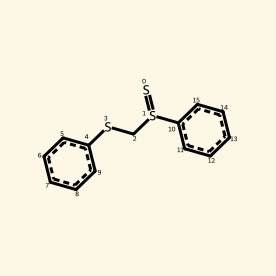 S=S(CSc1ccccc1)c1ccccc1